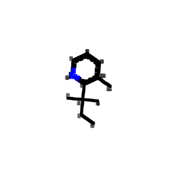 CCC(C)(C)c1ncccc1C